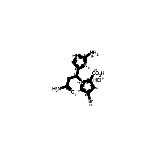 Cl.NC(=O)CC(c1c[nH]c(N)n1)n1cc(Br)cc1C(=O)O